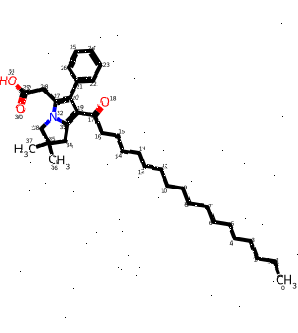 CCCCCCCCCCCCCCCCCC(=O)c1c(-c2ccccc2)c(CC(=O)O)n2c1CC(C)(C)C2